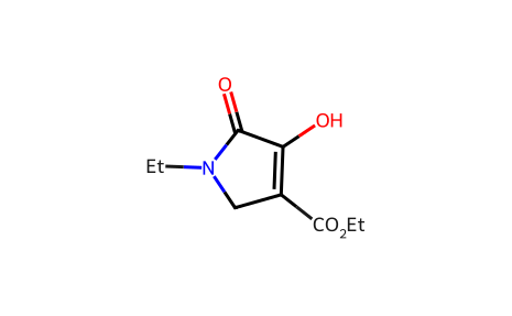 CCOC(=O)C1=C(O)C(=O)N(CC)C1